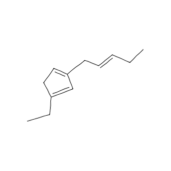 CCC=CCC1=CCC(CC)=C1